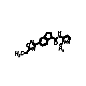 CCc1nc(-c2ccc3c(c2)CCC3C(=O)Nc2ccnn2C)no1